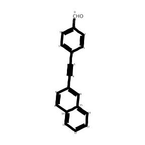 O=Cc1ccc(C#Cc2ccc3ccccc3c2)cc1